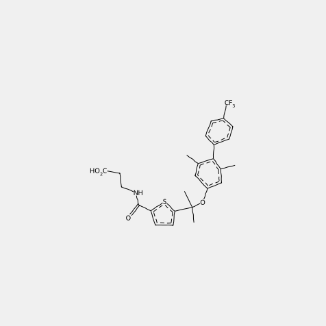 Cc1cc(OC(C)(C)c2ccc(C(=O)NCCC(=O)O)s2)cc(C)c1-c1ccc(C(F)(F)F)cc1